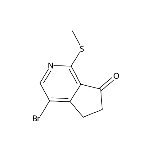 CSc1ncc(Br)c2c1C(=O)CC2